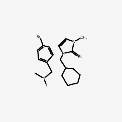 Brc1ccc(CN(I)I)cc1.Cn1ccn(CC2CCCCC2)[c]1=[Pt]